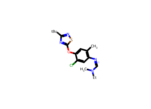 CCN(C)/C=N\c1cc(Cl)c(Oc2nc(C(C)(C)C)ns2)cc1C